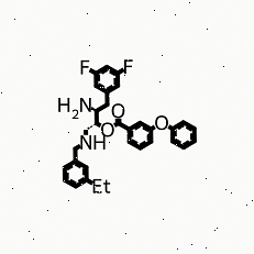 CCc1cccc(CNC[C@@H](OC(=O)c2cccc(Oc3ccccc3)c2)[C@@H](N)Cc2cc(F)cc(F)c2)c1